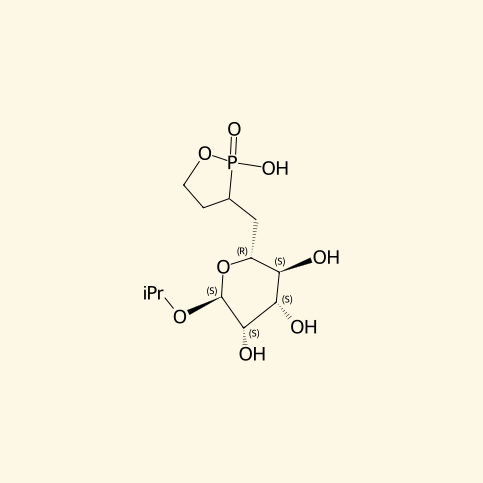 CC(C)O[C@H]1O[C@H](CC2CCOP2(=O)O)[C@@H](O)[C@H](O)[C@@H]1O